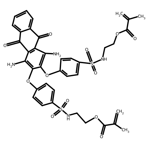 C=C(C)C(=O)OCCNS(=O)(=O)c1ccc(Oc2c(N)c3c(c(N)c2Oc2ccc(S(=O)(=O)NCCOC(=O)C(=C)C)cc2)C(=O)c2ccccc2C3=O)cc1